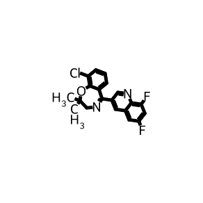 CC1(C)CN=C(c2cnc3c(F)cc(F)cc3c2)c2cccc(Cl)c2O1